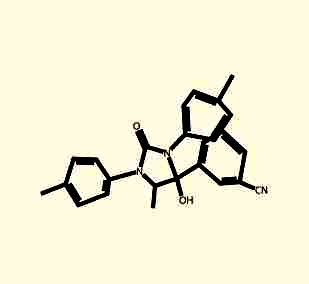 Cc1ccc(N2C(=O)N(c3ccc(C)cc3)C(O)(c3cccc(C#N)c3)C2C)cc1